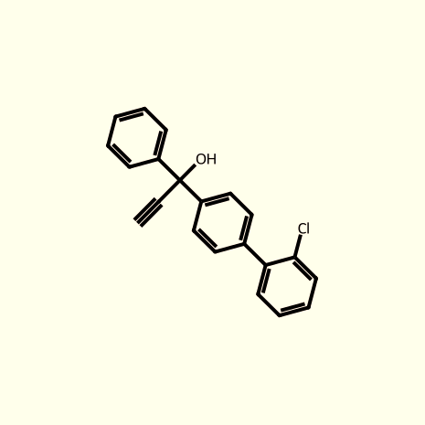 C#CC(O)(c1ccccc1)c1ccc(-c2ccccc2Cl)cc1